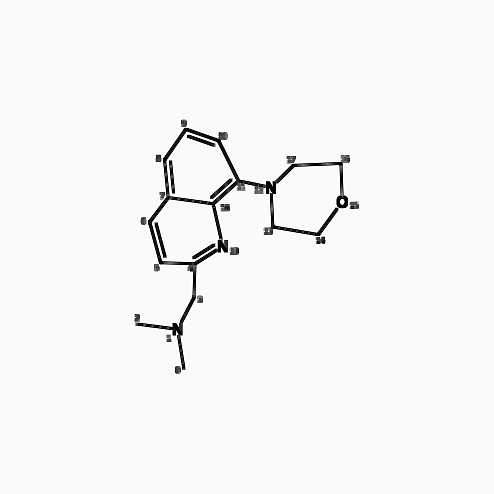 CN(C)Cc1ccc2cccc(N3CCOCC3)c2n1